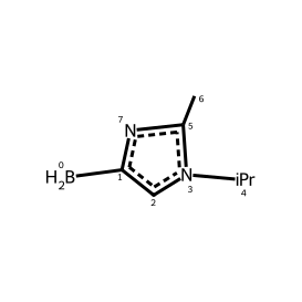 Bc1cn(C(C)C)c(C)n1